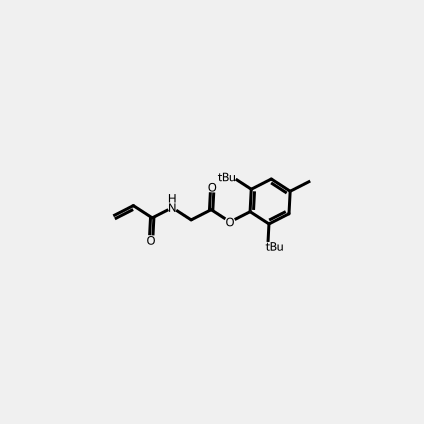 C=CC(=O)NCC(=O)Oc1c(C(C)(C)C)cc(C)cc1C(C)(C)C